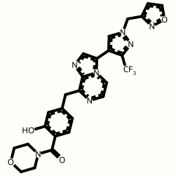 O=C(c1ccc(Cc2nccn3c(-c4cn(Cc5ccon5)nc4C(F)(F)F)cnc23)cc1O)N1CCOCC1